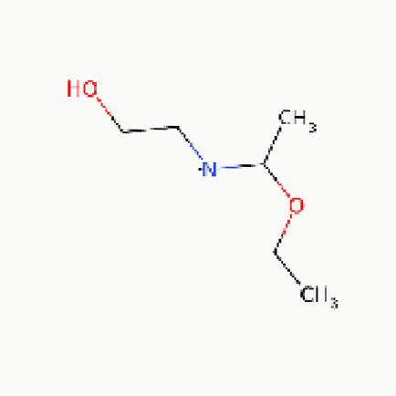 CCOC(C)[N]CCO